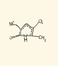 Cc1[nH]c(=O)c(C#N)cc1Cl